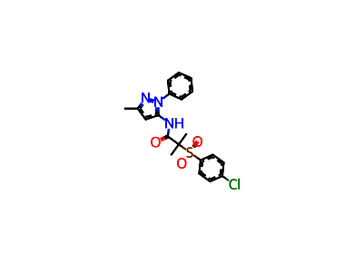 Cc1cc(NC(=O)C(C)(C)S(=O)(=O)c2ccc(Cl)cc2)n(-c2ccccc2)n1